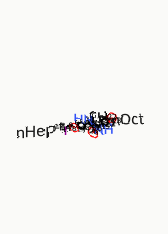 C=c1[nH]c(-c2ccc(OCC(I)CCCCCCC)cc2)c2c1=C(c1ccc(OCCCCCCCC)cc1)NC2=O